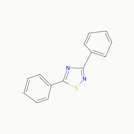 [c]1ccc(-c2nc(-c3ccccc3)ns2)cc1